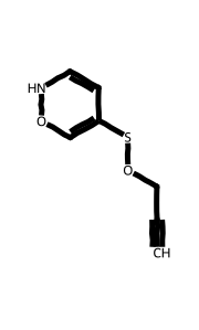 C#CCOSC1=CONC=C1